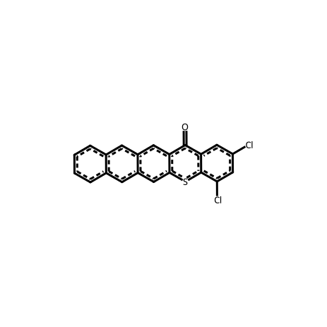 O=c1c2cc3cc4ccccc4cc3cc2sc2c(Cl)cc(Cl)cc12